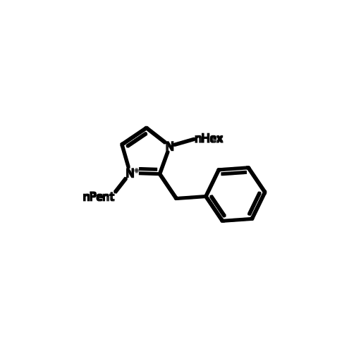 CCCCCCn1cc[n+](CCCCC)c1Cc1ccccc1